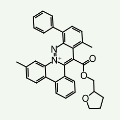 Cc1ccc2c3ccccc3c3c(C(=O)OCC4CCCO4)c4c(C)ccc(-c5ccccc5)c4n[n+]3c2c1